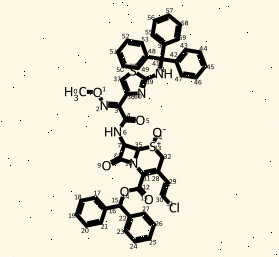 CON=C(C(=O)NC1C(=O)N2C(C(=O)OC(c3ccccc3)c3ccccc3)=C(C=CCl)C[S+]([O-])C12)c1csc(NC(c2ccccc2)(c2ccccc2)c2ccccc2)n1